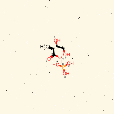 C=CC(=O)O.OCCO.OP(O)O